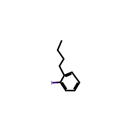 CCCCc1ccccc1I